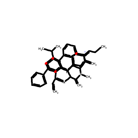 C=CC1=NC(C(=C)N(C)c2ccccc2Nc2cc(-c3ccccc3)ccc2-c2ccccc2)C(CCC(=C)/C=C\CC)c2cc(C(C)C)ccc21